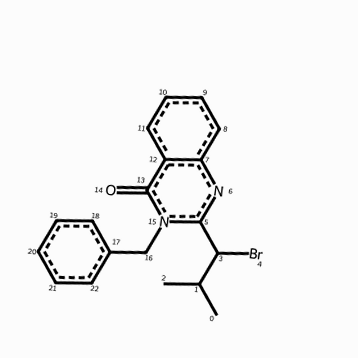 CC(C)C(Br)c1nc2ccccc2c(=O)n1Cc1ccccc1